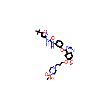 COc1cc2ncnc(Oc3cccc(NC(=O)Nc4cc(C(C)(C)C)on4)c3)c2cc1OCCCN1CCN(S(C)(=O)=O)CC1